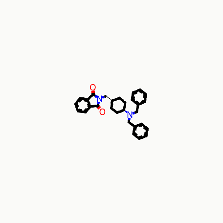 O=C1c2ccccc2C(=O)N1C[C@H]1CC[C@H](N(Cc2ccccc2)Cc2ccccc2)CC1